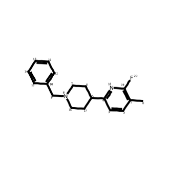 Cc1ccc(C2CCN(Cc3ccccc3)CC2)nc1F